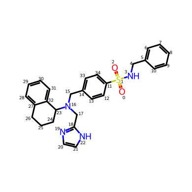 O=S(=O)(NCc1ccccc1)c1ccc(CN(Cc2ncc[nH]2)C2CCCc3ccccc32)cc1